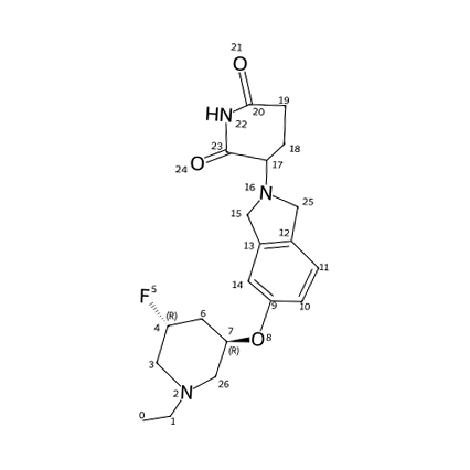 CCN1C[C@H](F)C[C@@H](Oc2ccc3c(c2)CN(C2CCC(=O)NC2=O)C3)C1